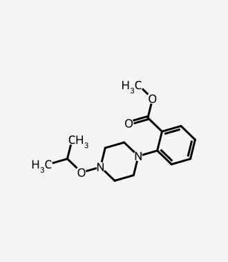 COC(=O)c1ccccc1N1CCN(OC(C)C)CC1